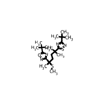 CSC(C)(CCC(C)(C)c1nc(C(C)(C)C)ns1)c1noc(C(C)(C)C)n1